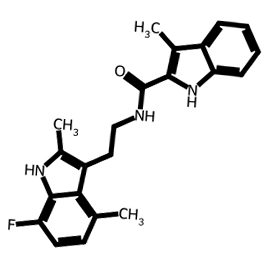 Cc1[nH]c2c(F)ccc(C)c2c1CCNC(=O)c1[nH]c2ccccc2c1C